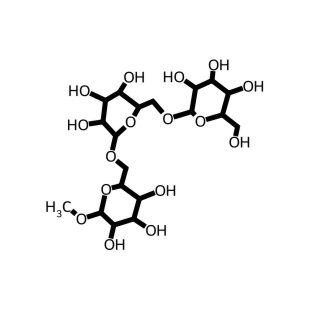 COC1OC(COC2OC(COC3OC(CO)C(O)C(O)C3O)C(O)C(O)C2O)C(O)C(O)C1O